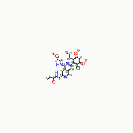 C=CC(=O)NCc1cc2c(NCCOC)nc(-c3c(Cl)c(OC)cc(OC)c3CCC)cc2cn1